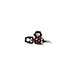 Nc1ncc(C2CC3CCC(C2)N3c2cccc3ccccc23)c(N)n1